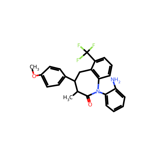 COc1ccc(C2Cc3c(cccc3C(F)(F)F)N(c3ccccc3N)C(=O)C2C)cc1